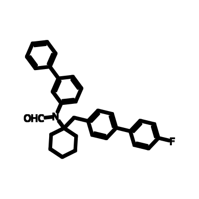 O=CN(c1cccc(-c2ccccc2)c1)C1(Cc2ccc(-c3ccc(F)cc3)cc2)CCCCC1